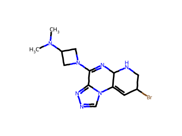 CN(C)C1CN(C2=NC3NCC(Br)C=C3n3cnnc32)C1